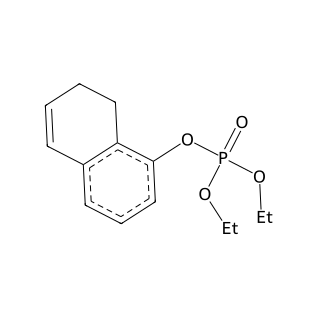 CCOP(=O)(OCC)Oc1cccc2c1CCC=C2